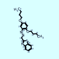 CCCCOc1ccc(OCCCC)c(N=NCc2nc3ccccc3s2)c1